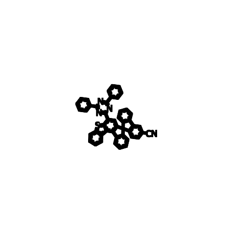 N#Cc1ccc2c(c1)-c1ccccc1C21c2ccccc2-c2c1cc(-c1nc(-c3ccccc3)nc(-c3ccccc3)n1)c1sc3ccccc3c21